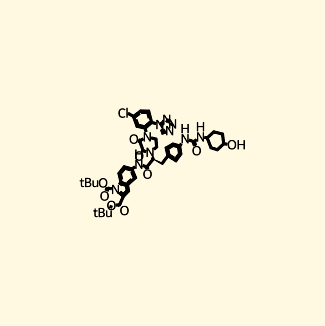 CC(C)(C)OC(=O)c1cc2cc(NC(=O)[C@H](Cc3ccc(NC(=O)NC4CCC(O)CC4)cc3)N3CCN(c4cc(Cl)ccc4-n4cnnn4)C(=O)C3=O)ccc2n1C(=O)OC(C)(C)C